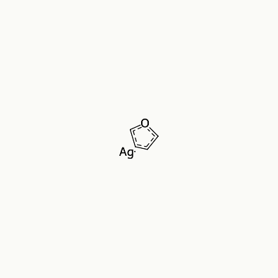 [Ag].c1ccoc1